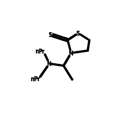 CCCN(CCC)C(C)N1CCSC1=S